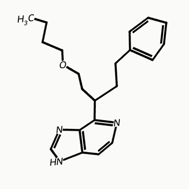 CCCCOCCC(CCc1ccccc1)c1nccc2[nH]cnc12